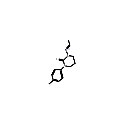 C/C=N/N1CCCN(c2ccc(C)cc2)C1=O